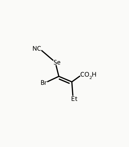 CC/C(C(=O)O)=C(\Br)[Se]C#N